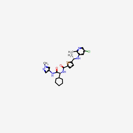 Cc1ncc(Cl)cc1N[C@@H](C)c1ccc(C(=O)N[C@H](C(=O)Nc2cnn(C)c2)C2CCCCC2)s1